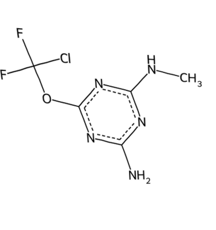 CNc1nc(N)nc(OC(F)(F)Cl)n1